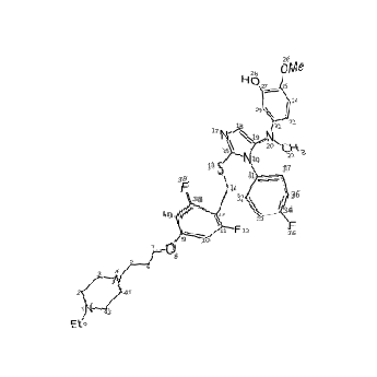 CCN1CCN(CCCOc2cc(F)c(CSc3ncc(N(C)c4ccc(OC)c(O)c4)n3-c3ccc(F)cc3)c(F)c2)CC1